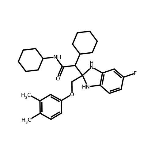 Cc1ccc(OCC2(C(C(=O)NC3CCCCC3)C3CCCCC3)Nc3ccc(F)cc3N2)cc1C